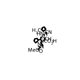 CC(=O)O.COC(=O)c1cnc(N2CCN(C(=NC#N)Nc3ccccc3C)CC2c2ccccc2)cn1